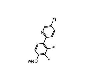 CCc1ccc(-c2ccc(OC)c(F)c2F)nc1